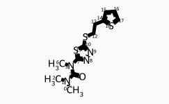 CN(C)C(=O)N(C)c1nnc(SCCc2cccs2)s1